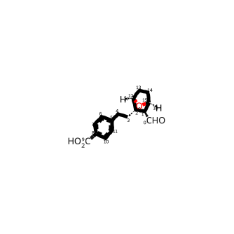 O=C[C@H]1[C@H](CCc2ccc(C(=O)O)cc2)[C@H]2CC[C@@H]1O2